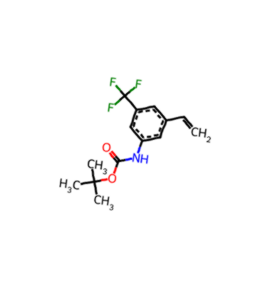 C=Cc1cc(NC(=O)OC(C)(C)C)cc(C(F)(F)F)c1